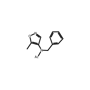 CC(=O)N(Cc1ccccc1)c1cnoc1C